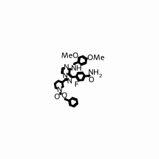 COc1ccc(CNc2nccn3c(C4CCCN(C(=O)OCc5ccccc5)C4)nc(-c4ccc(C(N)=O)cc4F)c23)c(OC)c1